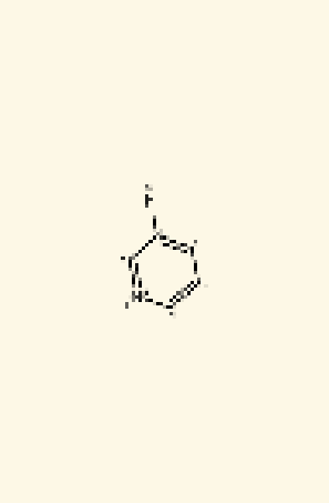 FC1=CC=C[N+]=C1